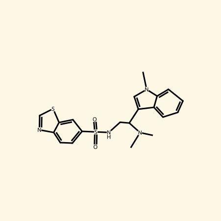 CN(C)C(CNS(=O)(=O)c1ccc2ncsc2c1)c1cn(C)c2ccccc12